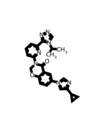 CC(C)n1cnnc1-c1cccc(N2COc3ccc(-n4cnc(C5CC5)c4)cc3C2=O)n1